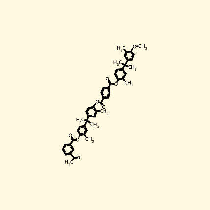 COc1ccc(C(C)(C)c2ccc(OC(=O)c3ccc(C(=O)Oc4ccc(C(C)(C)c5ccc(OC(=O)c6cccc(C(C)=O)c6)c(C)c5)cc4C)cc3)c(C)c2)cc1C